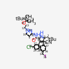 CC(C)(C)C[C@@H]1N[C@@H](C(=O)Nc2ccn(CCO[Si](C)(C)C(C)(C)C)n2)[C@H](c2cccc(Cl)c2)[C@@]1(C#N)c1ccc(CI)cc1